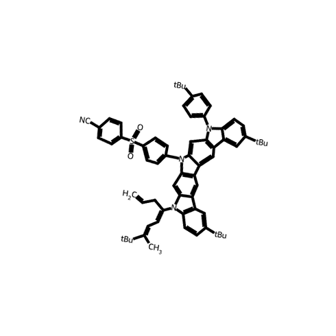 C=CC/C(=C\C=C(/C)C(C)(C)C)n1c2ccc(C(C)(C)C)cc2c2cc3c4cc5c6cc(C(C)(C)C)ccc6n(-c6ccc(C(C)(C)C)cc6)c5cc4n(-c4ccc(S(=O)(=O)c5ccc(C#N)cc5)cc4)c3cc21